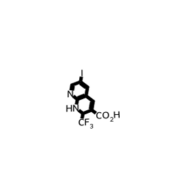 O=C(O)C1=Cc2cc(I)cnc2NC1C(F)(F)F